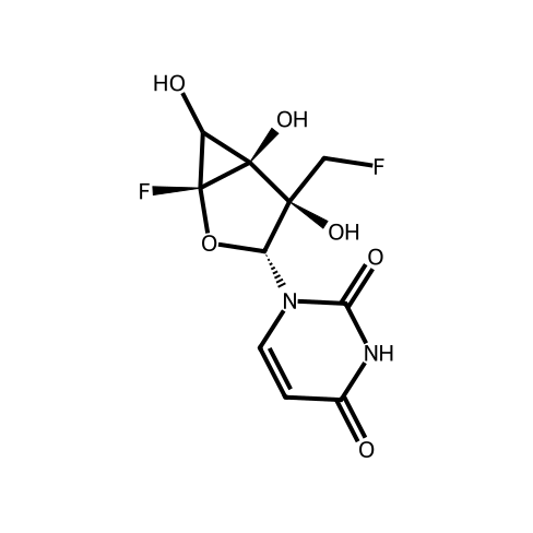 O=c1ccn([C@@H]2O[C@]3(F)C(O)[C@]3(O)[C@]2(O)CF)c(=O)[nH]1